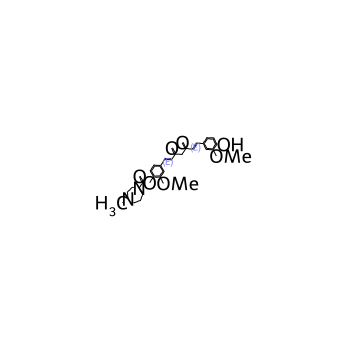 COc1cc(/C=C/C(=O)CC(=O)/C=C/c2ccc(OC(=O)N3CCCN(C)CC3)c(OC)c2)ccc1O